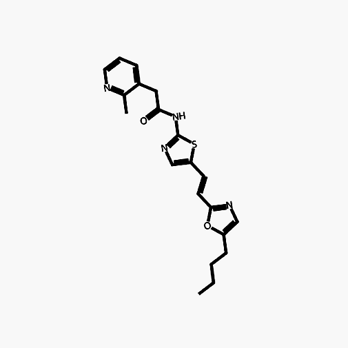 CCCCc1cnc(/C=C/c2cnc(NC(=O)Cc3cccnc3C)s2)o1